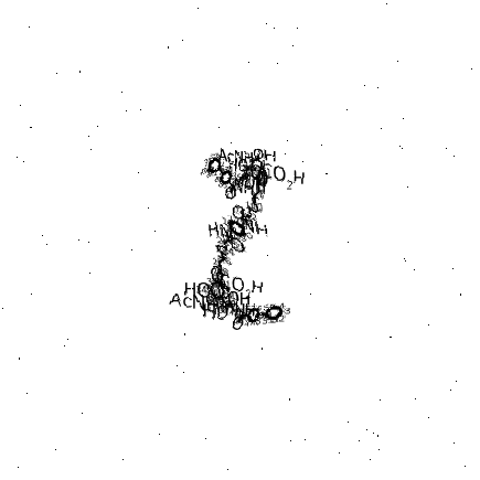 CC(=O)N[C@@H]1C(O)C[C@](OCCCSCCC(=O)Nc2ccc(NC(=O)CCSCCCO[C@]3(C(=O)O)C[C@H](O)[C@@H](NC(C)=O)C([C@H](O)[C@H](O)CNC(=O)c4ccc(-c5ccccc5)cc4)O3)cc2)(C(=O)O)OC1[C@H](O)[C@H](O)CNC(=O)c1ccc(-c2ccccc2)cc1